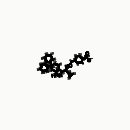 O=[N+]([O-])c1ccc(CON=C(c2n[nH]c3c2C=CC(c2ccccc2)(c2ccccc2)C3)C2CC2)cc1